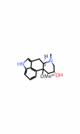 COC12C[C@@H](O)CN(C)[C@@H]1Cc1c[nH]c3cccc2c13